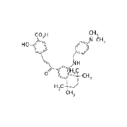 CN(C)c1ccc(CNc2cc(C(=O)C=Cc3ccc(C(=O)O)c(O)c3)cc3c2C(C)(C)CCC3(C)C)cc1